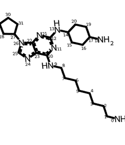 NCCCCCCCCNc1nc(NC2CCC(N)CC2)nc2c1ncn2C1CCCC1